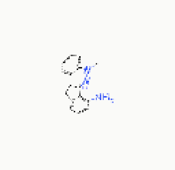 CN(/N=C1\CCc2cccc(N)c21)c1ccccc1